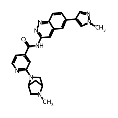 CN1CC2CC1CN2c1cc(C(=O)Nc2cc3cc(-c4cnn(C)c4)ccc3nn2)ccn1